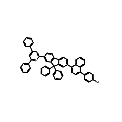 Nc1ccc(-c2ccc(-c3ccc4c(c3)C(c3ccccc3)(c3ccccc3)c3cc(-c5nc(-c6ccccc6)cc(-c6ccccc6)n5)ccc3-4)c3ccccc23)cc1